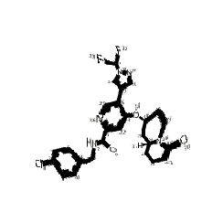 O=C(NCc1ccc(Cl)cc1)c1cc(O[C@H]2CCN3C(=O)CCC[C@@H]3C2)c(-c2cnn(C(F)F)c2)cn1